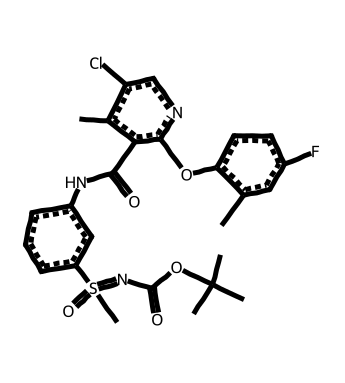 Cc1cc(F)ccc1Oc1ncc(Cl)c(C)c1C(=O)Nc1cccc(S(C)(=O)=NC(=O)OC(C)(C)C)c1